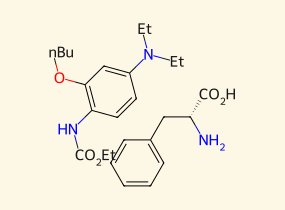 CCCCOc1cc(N(CC)CC)ccc1NC(=O)OCC.N[C@H](Cc1ccccc1)C(=O)O